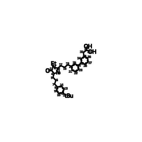 CCN1C(=O)C(CCCc2ccc(C(C)(C)C)cc2)N=C1CCCc1cccc(-c2cccc(CC(O)O)c2)c1